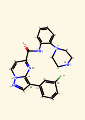 O=C(Nc1ccccc1N1CCNCC1)c1ccn2ncc(-c3cccc(F)c3)c2n1